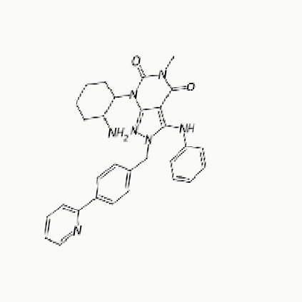 Cn1c(=O)c2c(Nc3ccccc3)n(Cc3ccc(-c4ccccn4)cc3)nc2n(C2CCCCC2N)c1=O